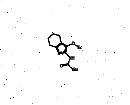 CCOc1c(NC(=O)C(C)(C)C)sc2c1CCCC2